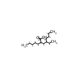 CCCCCC(CC(CC)CCCC)C(=O)O